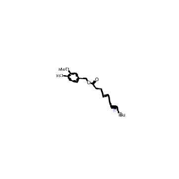 CCC(C)/C=C/CCCCC(=O)OCc1ccc(O)c(OC)c1